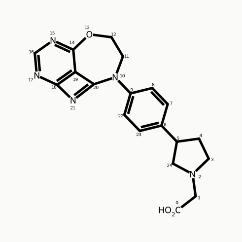 O=C(O)CN1CCC(c2ccc(N3CCOc4ncnc5c4C3=N5)cc2)C1